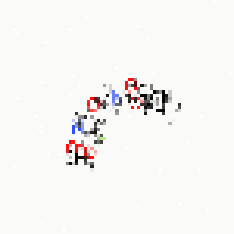 COC(=O)c1ncc(OC2CN(C(=O)OC(C)(C)C)C2)cc1F